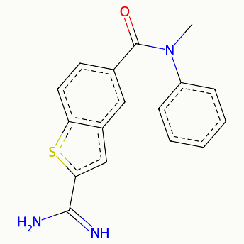 CN(C(=O)c1ccc2sc(C(=N)N)cc2c1)c1ccccc1